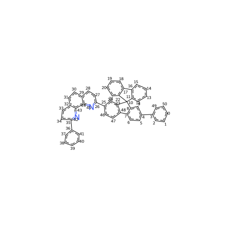 c1ccc(-c2ccc3c(c2)C2(c4ccccc4-c4ccccc42)c2cc(-c4ccc5ccc6ccc(-c7ccccc7)nc6c5n4)ccc2-3)cc1